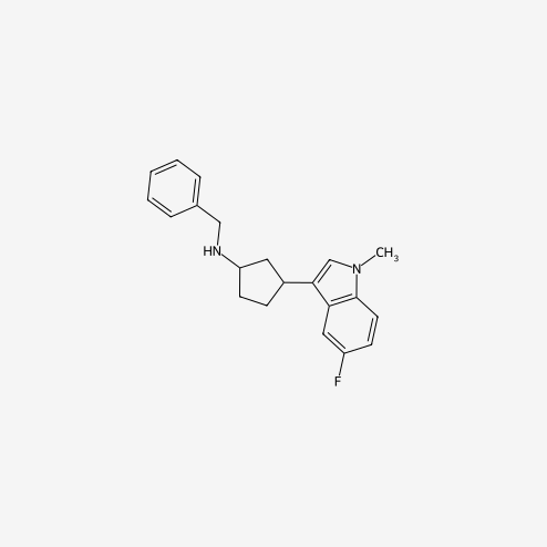 Cn1cc(C2CCC(NCc3ccccc3)C2)c2cc(F)ccc21